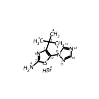 Br.CC(C)(C)c1nc(N)sc1-n1cncn1